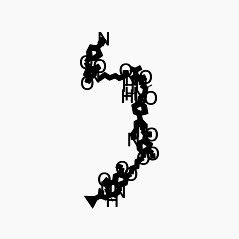 COc1cc2c(cc1OCCCOc1cc3c(cc1OC)C(=O)N1C=C(C4CC4)C[C@@H]1C=N3)N=CC1CC(c3ccc(NC(=O)[C@@H](C)NC(=O)C(NC(=O)CCCCCN4C(=O)C=C(Oc5ccc(C#N)cc5)C4=O)C(C)C)cc3)=CN1C2=O